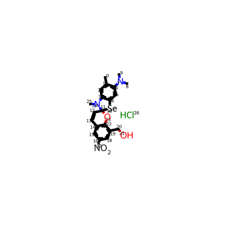 Cc1cc2c(cc1N(C)C)[Se]C1(C=Cc3cc([N+](=O)[O-])cc(CO)c3O1)N2C.Cl